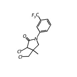 CC1(CCl)CN(c2cccc(C(F)(F)F)c2)C(=O)C1Cl